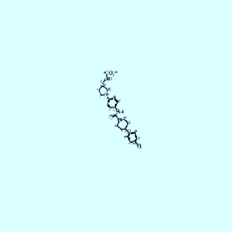 O=C(O)NC[C@H]1CCN(c2ccc(NC(=O)N3CCC(c4ccc(Cl)cc4)CC3)cn2)C1